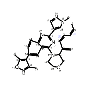 C=C(/C=C\C=C/C)C1COCCN1c1nc(-c2cnn(C)c2)nc2ccc(-c3c(C)noc3C)cc12